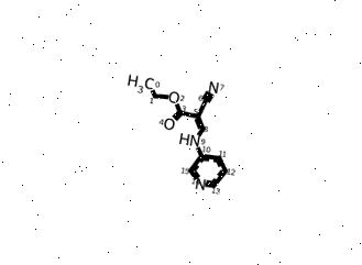 CCOC(=O)C(C#N)=CNc1cccnc1